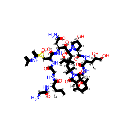 C=C(C)NC(=C)[S+]([O-])CC(NC(=O)CNC(=O)[C@@H](NC(=O)CN)[C@@H](C)CC)C(=O)N[C@@H](CC(N)=O)C(=O)C(CC(C)(C)CC(C)(C)N1C(=O)[C@@H]2[C@H](C1=O)C1(C)C=CC2(C)O1)(OC(C)C)N1C[C@H](O)C[C@H]1C(=O)N[C@H](C(=O)NC)[C@@H](C)[C@@H](O)CO